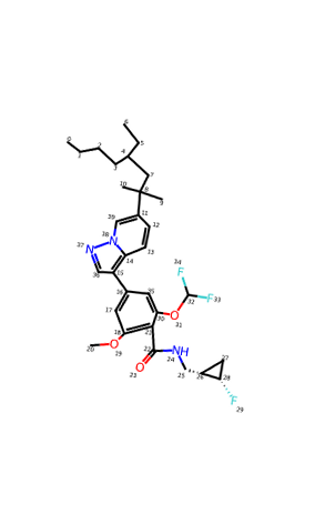 CCCCC(CC)CC(C)(C)c1ccc2c(-c3cc(OC)c(C(=O)NC[C@@H]4C[C@@H]4F)c(OC(F)F)c3)cnn2c1